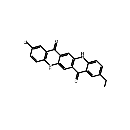 O=c1c2cc(Cl)ccc2[nH]c2cc3c(=O)c4cc(CI)ccc4[nH]c3cc12